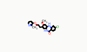 COc1cc2c(cc1CCCOc1cccnc1C)NC(=O)c1ccc(Cl)cc1N2